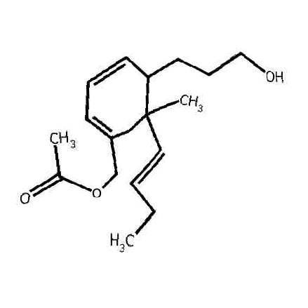 CCC=CC1(C)C(COC(C)=O)=CC=CC1CCCO